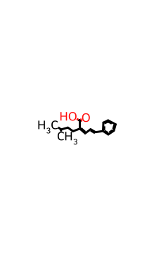 CC(C)CCC(=CC=Cc1ccccc1)C(=O)O